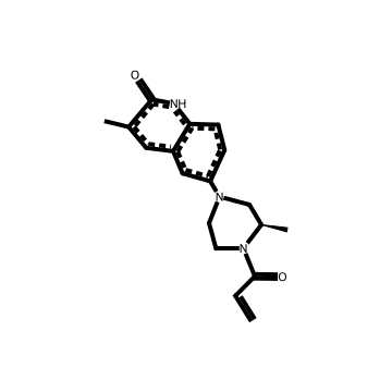 C=CC(=O)N1CCN(c2ccc3[nH]c(=O)c(C)cc3c2)C[C@H]1C